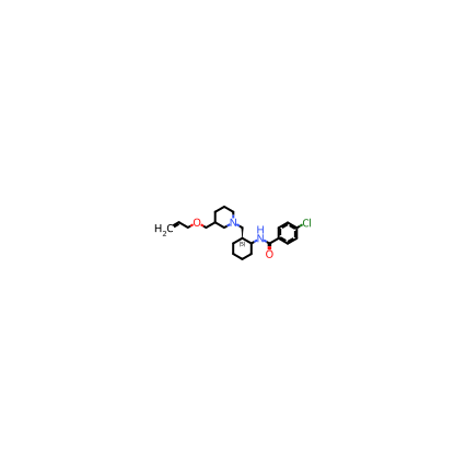 C=CCOCC1CCCN(C[C@@H]2CCCCC2NC(=O)c2ccc(Cl)cc2)C1